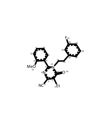 CCc1c(C#N)nc(-c2ccccc2OC)n(CCc2cccc(F)c2)c1=O